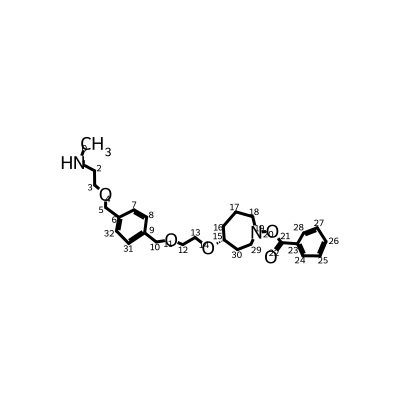 CNCCOCc1ccc(COCCO[C@@H]2CCCN(OC(=O)c3ccccc3)CC2)cc1